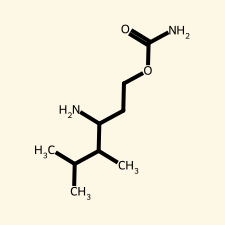 CC(C)C(C)C(N)CCOC(N)=O